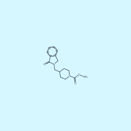 CC(C)(C)OC(=O)N1CCC(CN2Cc3ccccc3C2=O)CC1